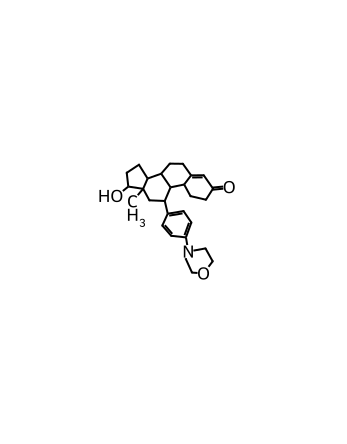 CC12CC(c3ccc(N4CCOCC4)cc3)C3C4CCC(=O)C=C4CCC3C1CCC2O